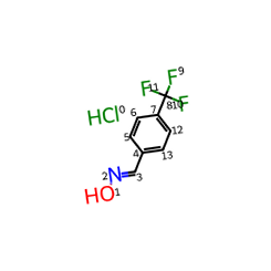 Cl.ON=Cc1ccc(C(F)(F)F)cc1